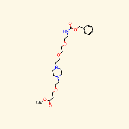 CC(C)(C)OC(=O)CCOCCN1CCN(CCOCCOCCNC(=O)OCc2ccccc2)CC1